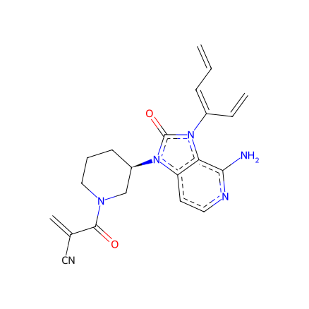 C=C/C=C(\C=C)n1c(=O)n([C@@H]2CCCN(C(=O)C(=C)C#N)C2)c2ccnc(N)c21